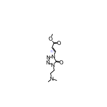 COC(=O)/C=C/n1nnn(CCN(C)C)c1=O